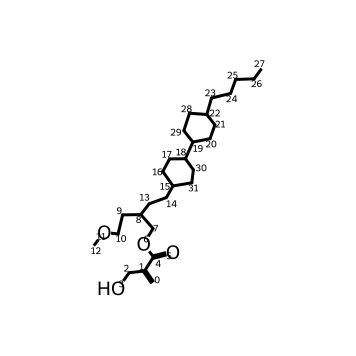 C=C(CO)C(=O)OCC(CCOC)CCC1CCC(C2CCC(CCCCC)CC2)CC1